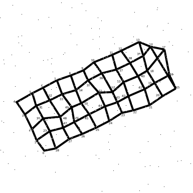 C1C2C3C4CC5C6C7C8C9C%10C%11C%12C%13C%14%15C%16C%17C%14C%14%18C%17%19C%16C%16C%17C%20C%21C%22C%23C%24C1C21C32C45C63C74C85C96C%107C%118C%12(C%13%15%14)C%189C%16%19C%17%10C%20%11C%21%12C%22%13C%23%14C%241C23C%144C%135C%126C%117C%1089